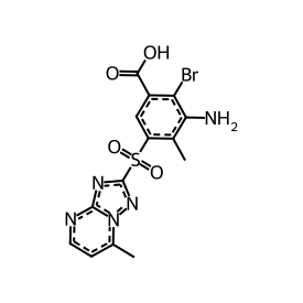 Cc1c(S(=O)(=O)c2nc3nccc(C)n3n2)cc(C(=O)O)c(Br)c1N